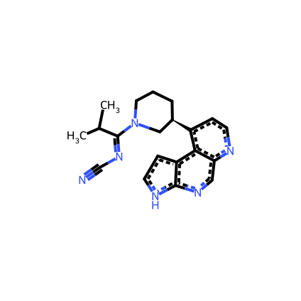 CC(C)C(=NC#N)N1CCC[C@@H](c2ccnc3cnc4[nH]ccc4c23)C1